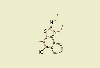 CCN=c1sc2c(C)c(O)c3ccccc3c2n1CC